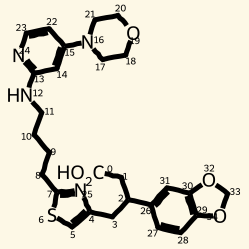 O=C(O)CC(Cc1csc(CCCCNc2cc(N3CCOCC3)ccn2)n1)c1ccc2c(c1)OCO2